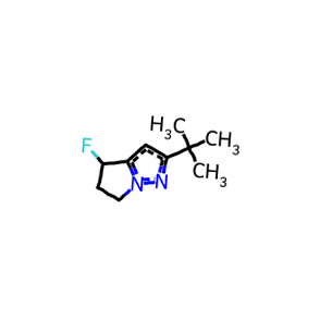 CC(C)(C)c1cc2n(n1)CCC2F